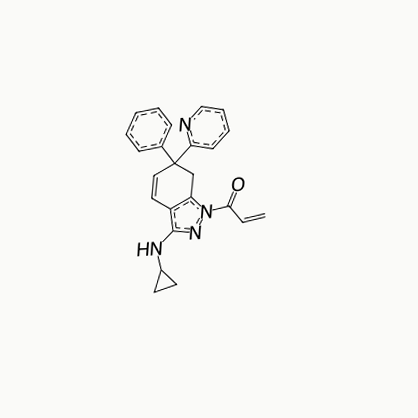 C=CC(=O)n1nc(NC2CC2)c2c1CC(c1ccccc1)(c1ccccn1)C=C2